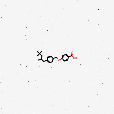 CC(Cc1ccc(COc2ccc(C(=O)O)cc2)cc1)CC(C)(C)C